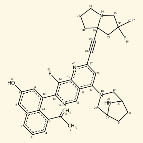 C=C(C)c1cccc2cc(O)cc(-c3ncc4c(N5CC6CCC(C5)N6)cc(C#CC56CCCN5CC(F)(F)C6)nc4c3F)c12